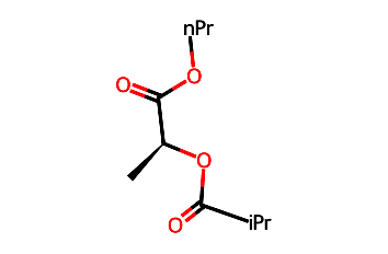 CCCOC(=O)[C@H](C)OC(=O)C(C)C